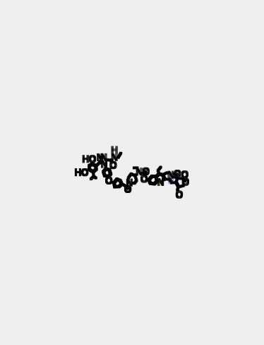 CCNC(=O)c1nnc(-c2cc(C(C)C)c(O)cc2O)n1-c1ccc(Oc2ccc(C(=O)N3CCC(N(CC)C(=O)Oc4ccc5nc6c(c(CC)c5c4)CN(C)/C6=C\C4=C(C=O)COC(=O)C45CO5)CC3)cc2)cc1